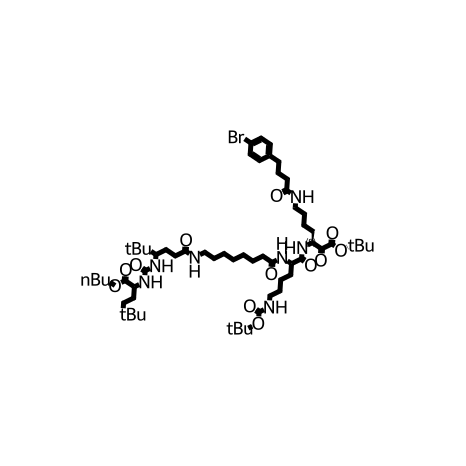 CCCCOC(=O)C(CCC(C)(C)C)NC(=O)NC(CCC(=O)NCCCCCCCC(=O)NC(CCCCNC(=O)OC(C)(C)C)C(=O)N[C@@H](CCCCNC(=O)CCCc1ccc(Br)cc1)C(=O)C(=O)OC(C)(C)C)C(C)(C)C